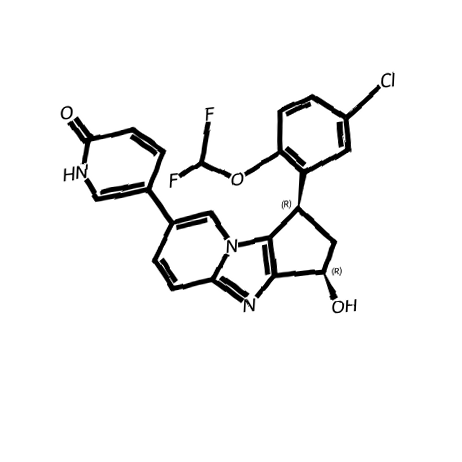 O=c1ccc(-c2ccc3nc4c(n3c2)[C@@H](c2cc(Cl)ccc2OC(F)F)C[C@H]4O)c[nH]1